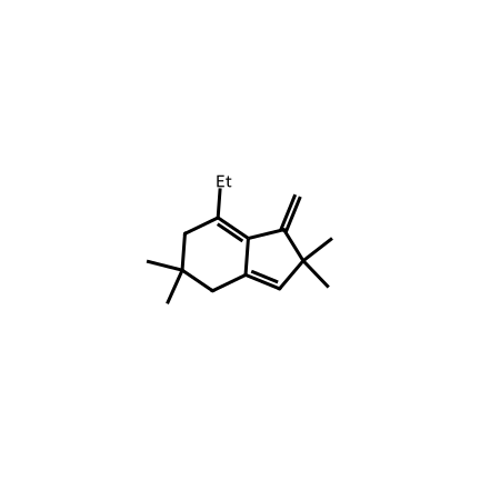 C=C1C2=C(CC)CC(C)(C)CC2=CC1(C)C